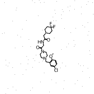 COc1ccc(Cl)cc1CN1CCN(C(=O)CNC(=O)CC2CCC(F)(F)CC2)CC1